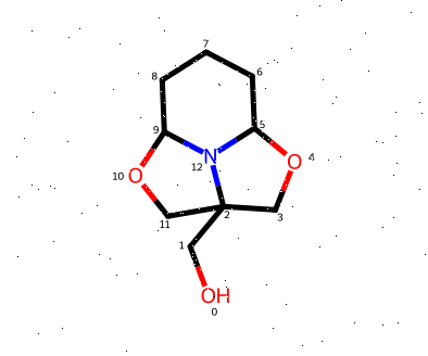 OCC12COC3CCCC(OC1)N32